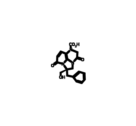 O=C(O)N1CC(=O)N2C[C@](CO)(Cc3ccccc3)n3c2c1ccc3=O